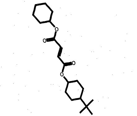 CC(C)(C)C1CCC(OC(=O)/C=C/C(=O)OC2CCCCC2)CC1